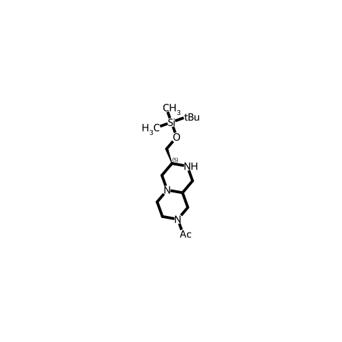 CC(=O)N1CCN2C[C@@H](CO[Si](C)(C)C(C)(C)C)NCC2C1